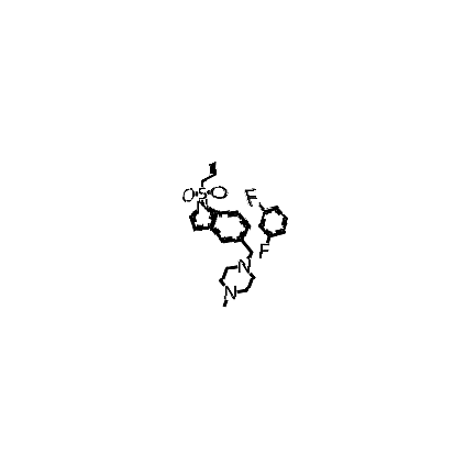 C=CCS(=O)(=O)n1ccc2cc(CN3CCN(C)CC3)ccc21.Fc1cccc(F)c1